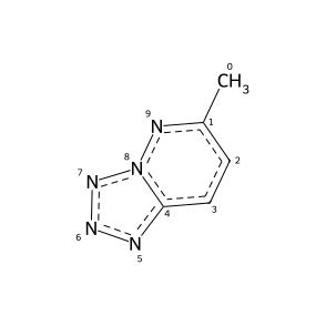 Cc1ccc2nnnn2n1